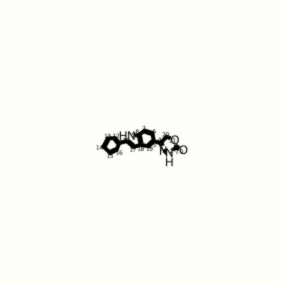 O=C1NN=C(c2ccc3[nH]c(-c4ccccc4)cc3c2)CO1